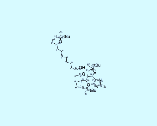 C=CC(CC=CCCCCC(O)CC(=O)C1(C(CC(O[Si](C)(C)C(C)(C)C)c2csc(C)n2)O[Si](C)(C)C(C)(C)C)CCC1)O[Si](C)(C)C(C)(C)C